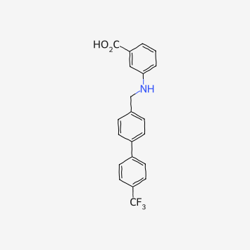 O=C(O)c1cccc(NCc2ccc(-c3ccc(C(F)(F)F)cc3)cc2)c1